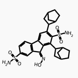 NS(=O)(=O)c1ccc2c(c1)C(=NO)c1c-2cc(C2CC3CCC2C3)c(S(N)(=O)=O)c1C1CC2CCC1C2